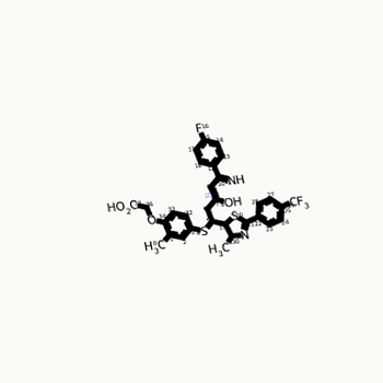 Cc1cc(SC(C/C(O)=C/C(=N)c2ccc(F)cc2)C2SC(c3ccc(C(F)(F)F)cc3)=NC2C)ccc1OCC(=O)O